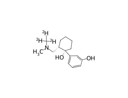 [2H]C([2H])([2H])N(C)C[C@@H]1CCCC[C@@]1(O)c1cccc(O)c1